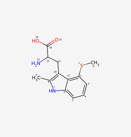 CSc1cccc2[nH]c(C)c(CC(N)C(=O)O)c12